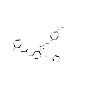 COc1ccc(CNS(=O)(=O)c2cc(NC(=O)Cc3ccccc3Cl)ccc2COc2ccn(C)n2)cc1